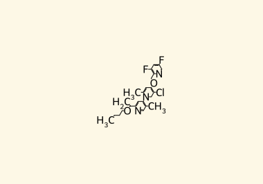 C=C(OCCCC)c1cc(N2CC(Cl)=C(OCc3ncc(F)cc3F)C=C2C)c(C)cn1